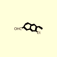 C=Cc1cc2ccc(C=O)cc2cc1CC